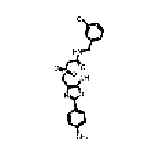 Cc1ccc(-c2nc(CS(=O)(=O)CC(=O)NCc3cccc(Cl)c3)c(C)o2)cc1